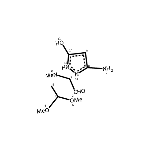 CNCC=O.COC(C)OC.Nc1cc(O)[nH]n1